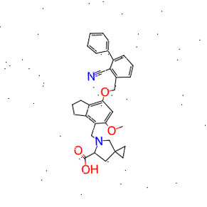 COc1cc(OCc2cccc(-c3ccccc3)c2C#N)c2c(c1CN1CC3(CC3)CC1C(=O)O)CCC2